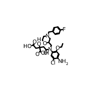 CCOc1cc(N)c(Cl)cc1N(CC1CN(Cc2ccc(F)cc2)CCO1)C(=O)CC(O)(CC(=O)O)C(=O)O